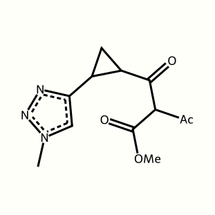 COC(=O)C(C(C)=O)C(=O)C1CC1c1cn(C)nn1